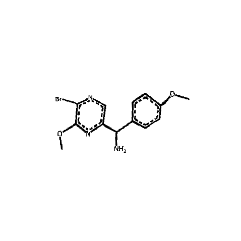 COc1ccc(C(N)c2cnc(Br)c(OC)n2)cc1